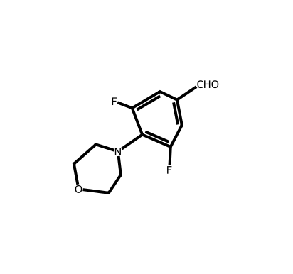 O=Cc1cc(F)c(N2CCOCC2)c(F)c1